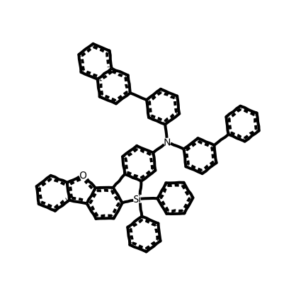 c1ccc(-c2cccc(N(c3cccc(-c4ccc5ccccc5c4)c3)c3ccc4c(c3)[Si](c3ccccc3)(c3ccccc3)c3ccc5c(oc6ccccc65)c3-4)c2)cc1